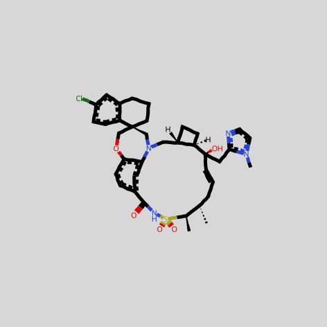 C[C@@H]1[C@@H](C)C/C=C/[C@@](O)(Cc2nccn2C)[C@@H]2CC[C@H]2CN2C[C@@]3(CCCc4cc(Cl)ccc43)COc3ccc(cc32)C(=O)NS1(=O)=O